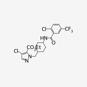 CCOC(=O)c1c(Cl)cnn1CC1CCC(NC(=O)c2cc(C(F)(F)F)ccc2Cl)CC1